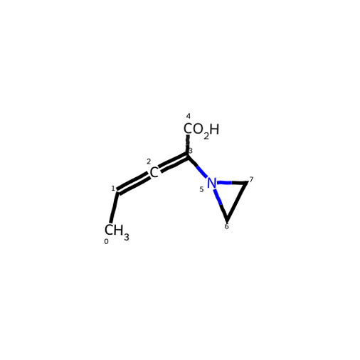 CC=C=C(C(=O)O)N1CC1